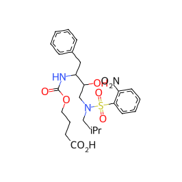 CC(C)CN(CC(O)C(Cc1ccccc1)NC(=O)OCCCC(=O)O)S(=O)(=O)c1ccccc1[N+](=O)[O-]